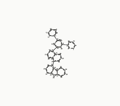 c1ccc(-c2nc(-c3ccccc3)nc(-c3cccc4c(-c5cccc6oc7ccccc7c56)cccc34)n2)cc1